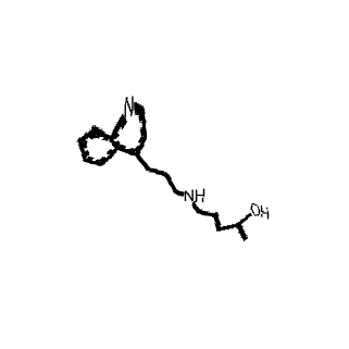 CC(O)CCCNCCCc1ccnc2ccccc12